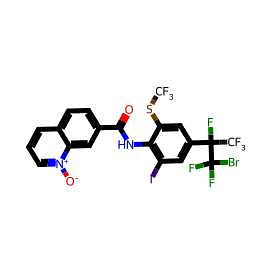 O=C(Nc1c(I)cc(C(F)(C(F)(F)F)C(F)(F)Br)cc1SC(F)(F)F)c1ccc2ccc[n+]([O-])c2c1